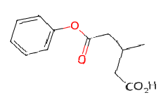 CC(CC(=O)O)CC(=O)Oc1ccccc1